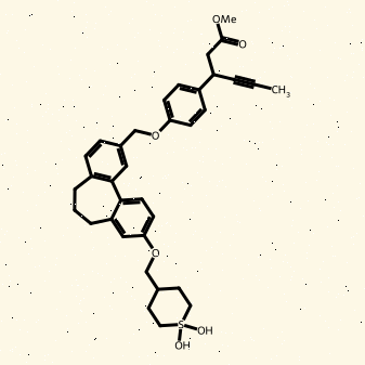 CC#CC(CC(=O)OC)c1ccc(OCc2ccc3c(c2)-c2ccc(OCC4CCS(O)(O)CC4)cc2CCC3)cc1